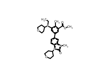 CCN(c1cc(-c2ccc3c(c2)n(C)c(=O)n3C2CCOCC2)cc(C(=O)OC)c1C)C1CCOCC1